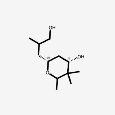 CC(CO)C[C@@H]1C[C@H](O)C(C)(C)C(C)O1